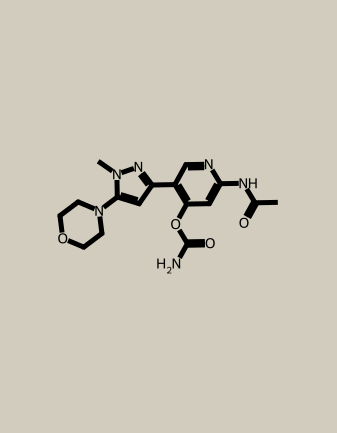 CC(=O)Nc1cc(OC(N)=O)c(-c2cc(N3CCOCC3)n(C)n2)cn1